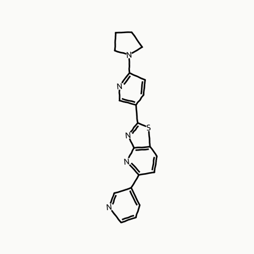 c1cncc(-c2ccc3sc(-c4ccc(N5CCCC5)nc4)nc3n2)c1